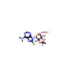 CN(C)c1ncnc2c1nc(Br)n2[C@@H]1O[C@H](CO)[C@H]2OC(C)(C)O[C@H]21